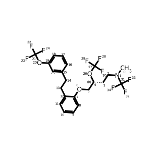 CN(CC[C@H](COc1ccccc1CCc1cccc(OC(F)(F)F)c1)OC(F)(F)F)C(F)(F)F